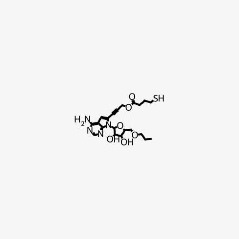 CCCOCC1OC(n2c(C#CCOC(=O)CCCS)cc3c(N)ncnc32)C(O)C1O